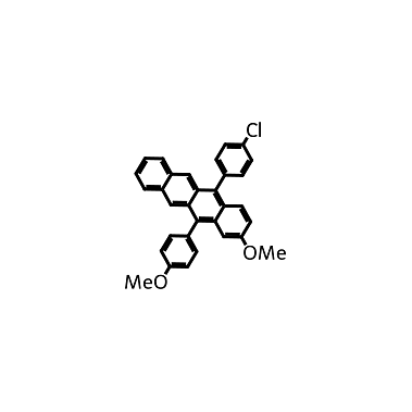 COc1ccc(-c2c3cc(OC)ccc3c(-c3ccc(Cl)cc3)c3cc4ccccc4cc23)cc1